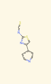 S=C=Nc1nc(-c2ccncc2)cs1